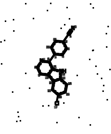 N#Cc1ccc(-c2nccc3c2[nH]c2ccc(Cl)cc23)cc1